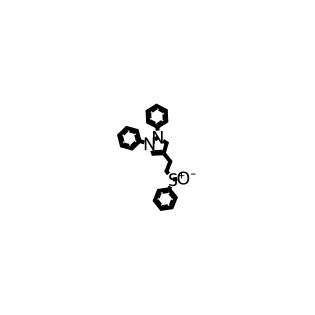 [O-][S+](CCC1=CN(c2ccccc2)N(c2ccccc2)C1)c1ccccc1